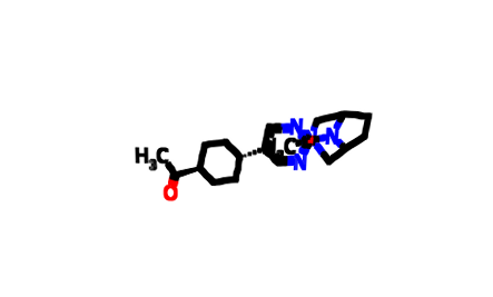 CC(=O)[C@H]1CC[C@H](c2cnc(N3C4CCC3CN(C)C4)nc2)CC1